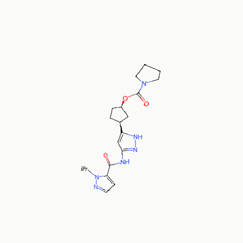 CC(C)n1nccc1C(=O)Nc1cc([C@H]2CC[C@@H](OC(=O)N3CCCC3)C2)[nH]n1